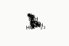 NC(=O)c1ccc(Cn2c(C(=O)Nc3cccc(N4CCCC4)n3)cc3ccc(/C(N)=N\O)cc32)cc1